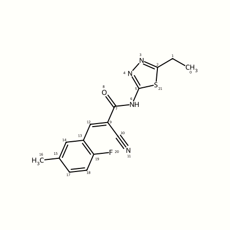 CCc1nnc(NC(=O)/C(C#N)=C/c2cc(C)ccc2F)s1